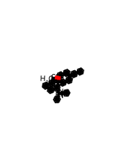 CC1(C)c2cc3c4ccccc4c4ccccc4c3cc2-c2c1ccc1c3cc(-c4cccc(N(c5ccc(-c6ccccc6)cc5)c5cccc(-c6ccccc6)c5)c4)ccc3n(-c3cccc(-c4nc(-c5ccccc5)nc(-c5ccccc5)n4)c3)c21